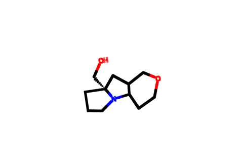 OC[C@@]12CCCN1C1CCOCC1C2